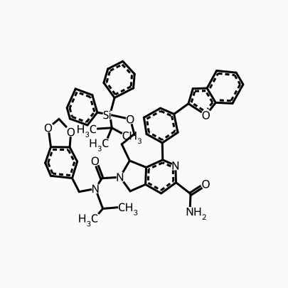 CC(C)N(Cc1ccc2c(c1)OCO2)C(=O)N1Cc2cc(C(N)=O)nc(-c3cccc(-c4cc5ccccc5o4)c3)c2C1CCO[Si](c1ccccc1)(c1ccccc1)C(C)(C)C